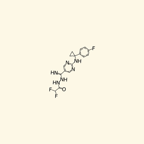 N=C(NNC(=O)C(F)F)c1cnc(NC2(c3ccc(F)cc3)CC2)nc1